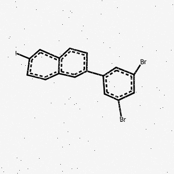 Brc1cc(Br)cc(-c2ccc3cc(I)ccc3c2)c1